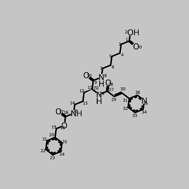 O=C(O)CCCCCNC(=O)[C@H](CCCNC(=O)OCc1ccccc1)NC(=O)C=Cc1cccnc1